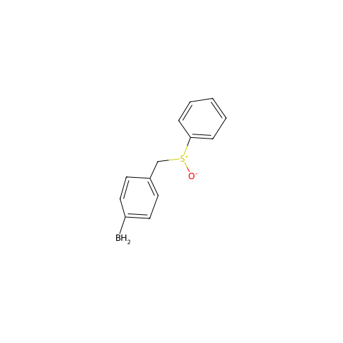 Bc1ccc(C[S+]([O-])c2ccccc2)cc1